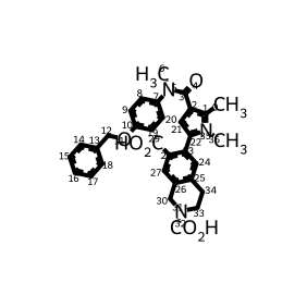 Cc1c(C(=O)N(C)c2ccc(OCc3ccccc3)cc2)cc(-c2cc3c(cc2C(=O)O)CN(C(=O)O)CC3)n1C